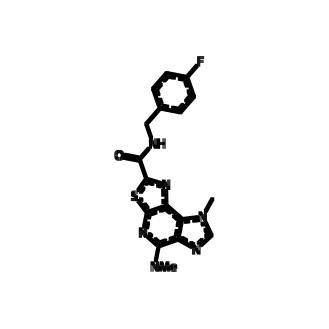 CNc1nc2sc(C(=O)NCc3ccc(F)cc3)nc2c2c1ncn2C